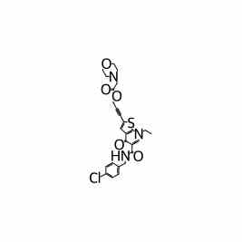 CCn1cc(C(=O)NCc2ccc(Cl)cc2)c(=O)c2cc(C#CCOC(=O)CN3CCOCC3)sc21